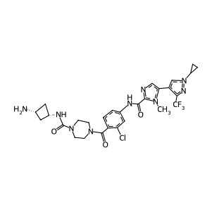 Cn1c(-c2cn(C3CC3)nc2C(F)(F)F)cnc1C(=O)Nc1ccc(C(=O)N2CCN(C(=O)N[C@H]3C[C@@H](N)C3)CC2)c(Cl)c1